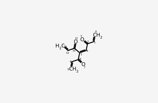 C=CC(=O)C=C(C(=O)C=C)C(=O)C=C